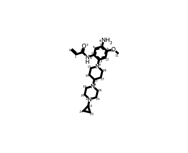 C=CC(=O)Nc1cc(N)c(OC)cc1N1CCC(N2CCN(C3CC3)CC2)CC1